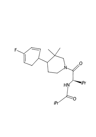 CC(C)C(=O)N[C@@H](C(=O)N1CCC(C2C=CC(F)=CC2)C(C)(C)C1)C(C)C